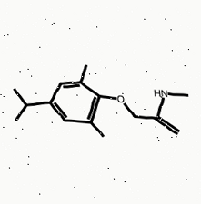 C=C(COc1c(C)cc(C(C)C)cc1C)NC